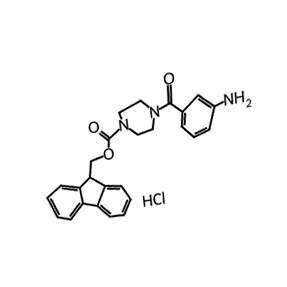 Cl.Nc1cccc(C(=O)N2CCN(C(=O)OCC3c4ccccc4-c4ccccc43)CC2)c1